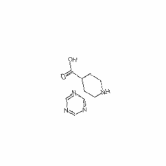 O=C(O)C1CCNCC1.c1ncncn1